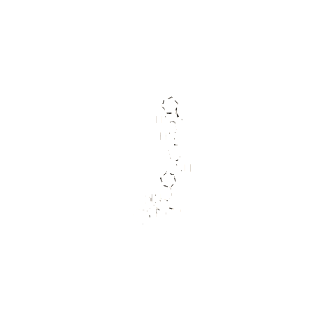 O=C(CC1Oc2ccc(C[C@H](NS(=O)(=O)C3CCCCC3)C(=O)O)cc2NC1=O)NCc1nc2ccccc2[nH]1